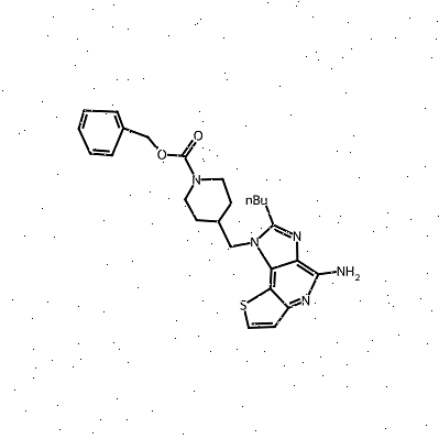 CCCCc1nc2c(N)nc3ccsc3c2n1CC1CCN(C(=O)OCc2ccccc2)CC1